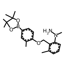 Cc1cc(B2OC(C)(C)C(C)(C)O2)ccc1OCc1c(C)cccc1N(C)N